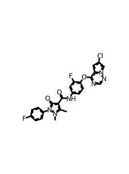 Cc1c(C(=O)Nc2ccc(Oc3ncnn4cc(Cl)cc34)c(F)c2)c(=O)n(-c2ccc(F)cc2)n1C